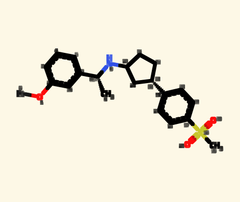 CCOc1cccc([C@@H](C)NC2CC[C@H](c3ccc(S(C)(=O)=O)cc3)C2)c1